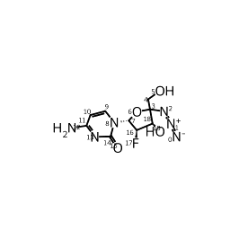 [N-]=[N+]=NC1(CO)O[C@@H](n2ccc(N)nc2=O)[C@H](F)[C@@H]1O